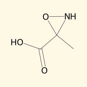 CC1(C(=O)O)NO1